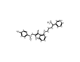 Cc1c(C[S+]([O-])c2ccc(F)cc2)oc2cccc(OCCCC(N)c3cccnc3)c12